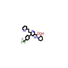 O=C(N[C@@H]1CCCC[C@H]1O)c1cnc(CCc2ccccn2)c(-c2ccc(C(F)(F)F)cc2)c1